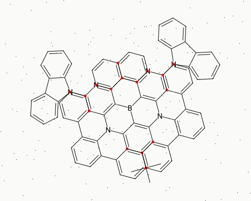 CC(C)(C)c1cc2c3c(c1)N(c1c(-c4ccccc4)cccc1-c1ccccc1)c1cc(-n4c5ccccc5c5ccccc54)nc(-c4ccccc4)c1B3c1c(cc(-n3c4ccccc4c4ccccc43)nc1-c1ccccc1)N2c1c(-c2ccccc2)cccc1-c1ccccc1